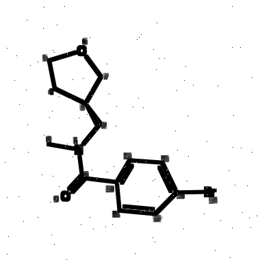 CN(C[C@H]1CCOC1)C(=O)c1ccc(Br)cc1